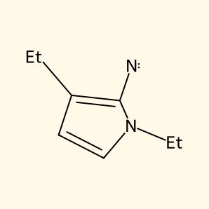 CCc1ccn(CC)c1[N]